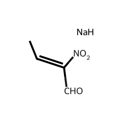 CC=C(C=O)[N+](=O)[O-].[NaH]